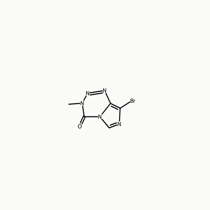 Cn1nnc2c(Br)ncn2c1=O